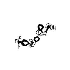 O=C(O)C[C@@H](NC(=O)[C@H]1CC[C@H](NS(=O)(=O)c2ccc(C(F)(F)F)cc2)CC1)c1ccccc1